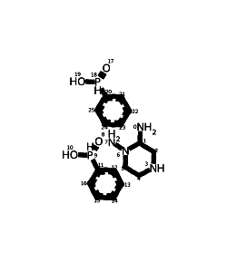 NC1CNCCN1N.O=[PH](O)c1ccccc1.O=[PH](O)c1ccccc1